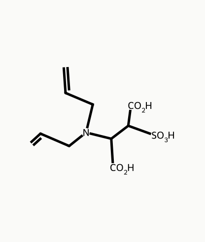 C=CCN(CC=C)C(C(=O)O)C(C(=O)O)S(=O)(=O)O